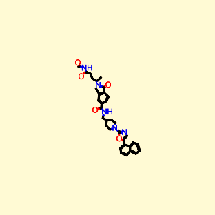 CC(CCC(=O)NC=O)N1Cc2cc(C(=O)NCC3CCN(c4ncc(-c5cccc6ccccc56)o4)CC3)ccc2C1=O